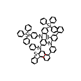 c1ccc(-c2cccc(N3c4ccc(-c5ccccc5)cc4B4c5cc([Si](c6ccccc6)(c6ccccc6)c6ccccc6)ccc5N(c5ccc([Si](c6ccccc6)(c6ccccc6)c6ccccc6)cc5)c5cc(N(c6ccccc6)c6cccc7c6sc6ccccc67)cc3c54)c2)cc1